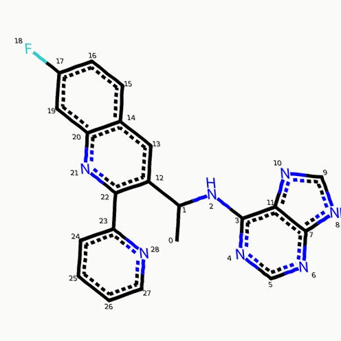 CC(Nc1ncnc2[nH]cnc12)c1cc2ccc(F)cc2nc1-c1ccccn1